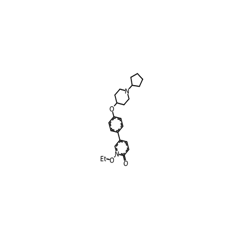 CCOn1cc(-c2ccc(OC3CCN(C4CCCC4)CC3)cc2)ccc1=O